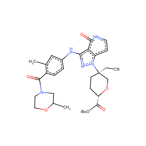 Cc1cc(Nc2nn([C@]3(CC#N)CC[C@@H](C(=O)OCC(C)C)OC3)c3cc[nH]c(=O)c23)ccc1C(=O)N1CCOC(C)C1